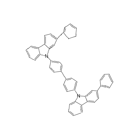 C1=CCCC(c2ccc3c4ccccc4n(-c4ccc(-c5ccc(-n6c7ccccc7c7ccc(-c8ccccc8)cc76)cc5)cc4)c3c2)=C1